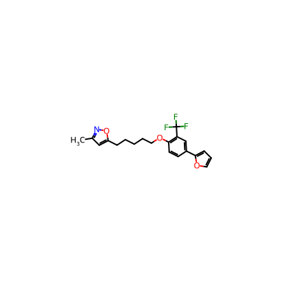 Cc1cc(CCCCCOc2ccc(-c3ccco3)cc2C(F)(F)F)on1